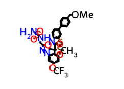 COCc1ccc(-c2ccc3nc(C(c4ccc(OC(F)(F)F)cc4)(c4nnc(CNS(N)(=O)=O)o4)S(C)(=O)=O)sc3c2)cc1